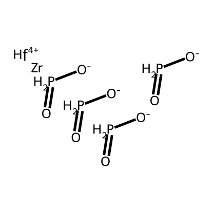 O=[PH2][O-].O=[PH2][O-].O=[PH2][O-].O=[PH2][O-].[Hf+4].[Zr]